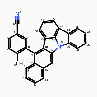 Cc1ccc(C#N)cc1-c1c2ccccc2cc2c1c1cccc3c4ccccc4n2c31